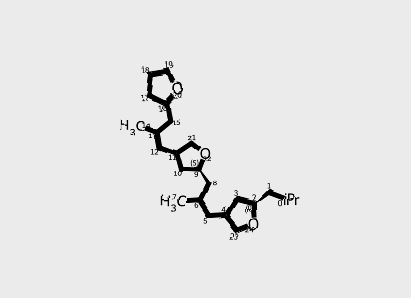 CC(C)C[C@@H]1CC(CC(C)C[C@H]2CC(CC(C)CC3CCCO3)CO2)CO1